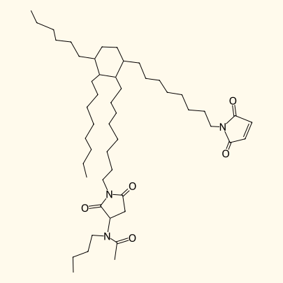 CCCCCCCCC1C(CCCCCC)CCC(CCCCCCCCN2C(=O)C=CC2=O)C1CCCCCCCCN1C(=O)CC(N(CCCC)C(C)=O)C1=O